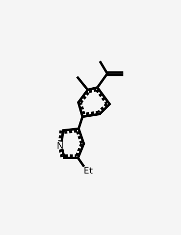 C=C(C)c1ccc(-c2cncc(CC)c2)cc1C